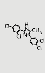 Cc1[nH]c(-c2ccc(Cl)cc2Cl)nc1-c1ccc(Cl)c(Cl)c1